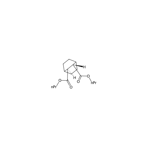 CCCOC(=O)[C@H]1C2CCC(CC2)[C@@H]1C(=O)OCCC